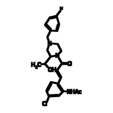 CC(=O)Nc1cc(Cl)ccc1C=CC(=O)N1CCN(Cc2ccc(F)cc2)CC1C(C)O